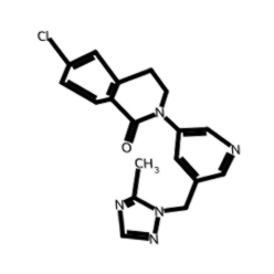 Cc1ncnn1Cc1cncc(N2CCc3cc(Cl)ccc3C2=O)c1